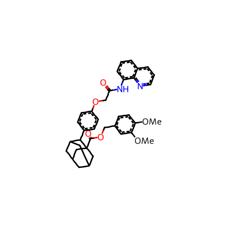 COc1ccc(COC(=O)C23CC4CC(CC(C4)C2c2ccc(OCC(=O)Nc4cccc5cccnc45)cc2)C3)cc1OC